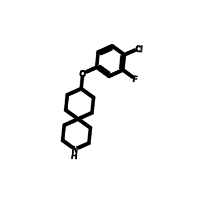 Fc1cc(OC2CCC3(CCNCC3)CC2)ccc1Cl